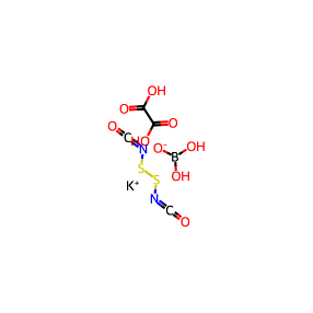 O=C(O)C(=O)O.O=C=NSSN=C=O.[K+].[O-]B(O)O